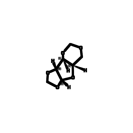 C1OC[C@H]2O[C@@H]3OCO[C@@H]3[C@H]2O1